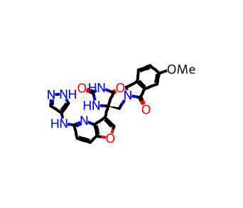 COc1ccc2c(c1)C(=O)N(C[C@@]1(c3coc4ccc(Nc5cn[nH]c5)nc34)NC(=O)NC1=O)C2